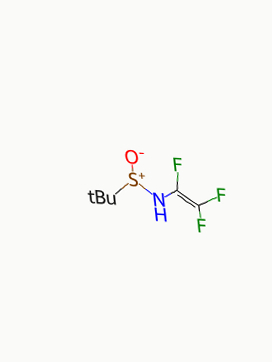 CC(C)(C)[S+]([O-])NC(F)=C(F)F